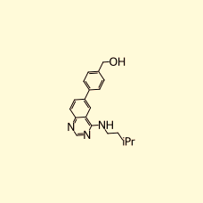 CC(C)CCNc1ncnc2ccc(-c3ccc(CO)cc3)cc12